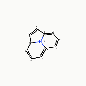 C1=CC2=CC=CC3C=CC(=C1)N23